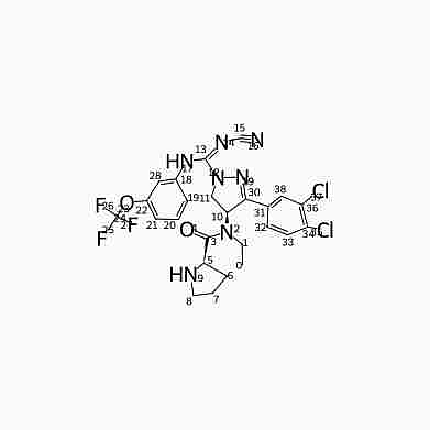 CCN(C(=O)[C@H]1CCCN1)[C@H]1CN(/C(=N\C#N)Nc2cccc(OC(F)(F)F)c2)N=C1c1ccc(Cl)c(Cl)c1